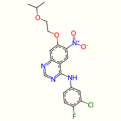 CC(C)OCCOc1cc2ncnc(Nc3ccc(F)c(Cl)c3)c2cc1[N+](=O)[O-]